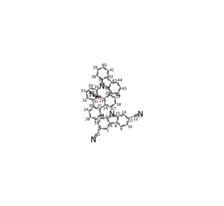 N#Cc1ccc2c(c1)c1ccc(C#N)cc1n2-c1cccc(C#N)c1-c1ccccc1-c1cccc(-n2c3ccccc3c3ccccc32)c1